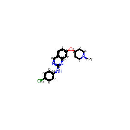 CC(C)N1CCC(Oc2ccc3cnc(Nc4ccc(Cl)cc4)nc3c2)CC1